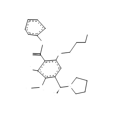 CCCCOc1cc([C@H](C)N2CCCC2)c(OC)c(C)c1C(=O)Oc1ccccc1